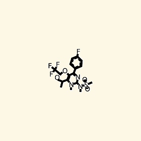 CC(C)C1=C(OC(=O)C(F)(F)F)C(c2ccc(F)cc2)=NC(N(C)S(C)(=O)=O)N1C